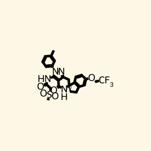 Cc1cccc(-n2nc3c(c2NC(=O)CS(C)(=O)=O)C(=O)N[C@]2(CCc4cc(OCC(F)(F)F)ccc42)C3)c1